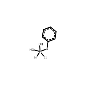 CCP(O)(O)(CC)Oc1ccccc1